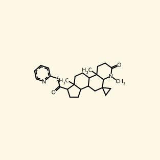 CN1C(=O)CCC2(C)C3CCC4(C)C(C(=O)Sc5ccccn5)CCC4C3CC3(CC3)C12